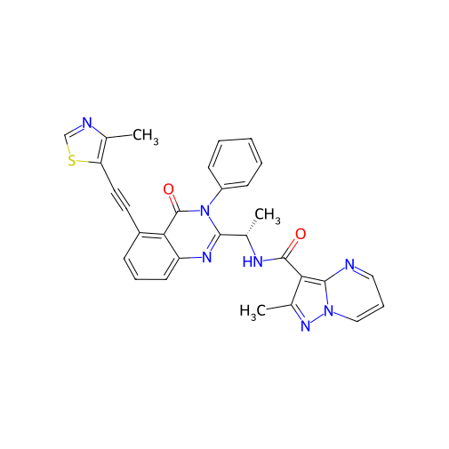 Cc1ncsc1C#Cc1cccc2nc([C@H](C)NC(=O)c3c(C)nn4cccnc34)n(-c3ccccc3)c(=O)c12